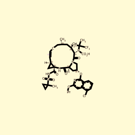 CC(C)Oc1cc2c(Cl)cccc2c(O[C@@H]2C[C@H]3C(=O)N[C@]4(C(=O)NS(=O)(=O)C5(C)CC5)C[C@H]4/C=C\CC[C@H](C)C[C@@H](C)[C@H](N(C(=O)O)C(C)(C)C(F)(F)F)C(=O)N3C2)n1